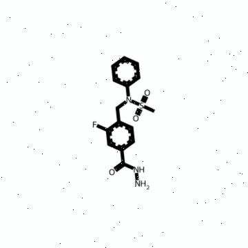 CS(=O)(=O)N(Cc1ccc(C(=O)NN)cc1F)c1ccccc1